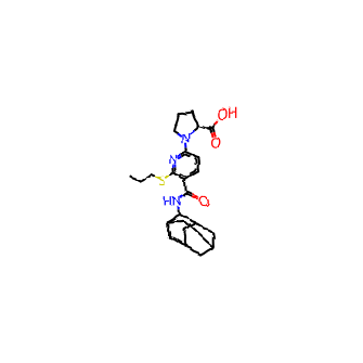 CCCSc1nc(N2CCC[C@H]2C(=O)O)ccc1C(=O)NC1C2CC3CC(C2)CC1C3